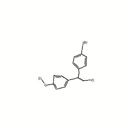 CCOc1ccc(C(CCl)c2ccc(C(C)(C)C)cc2)cc1